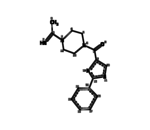 CC(=N)N1CCN(C(=O)c2csc(-c3ccccc3)n2)CC1